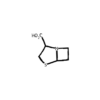 O=C(O)C1CSC2CCN21